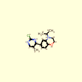 Cc1cnc(Cl)nc1-c1ccc2c(c1)N(C(C)C)CCO2